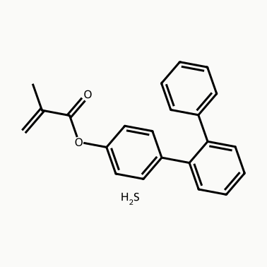 C=C(C)C(=O)Oc1ccc(-c2ccccc2-c2ccccc2)cc1.S